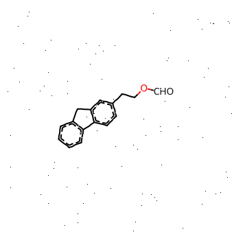 O=COCCc1ccc2c(c1)Cc1ccccc1-2